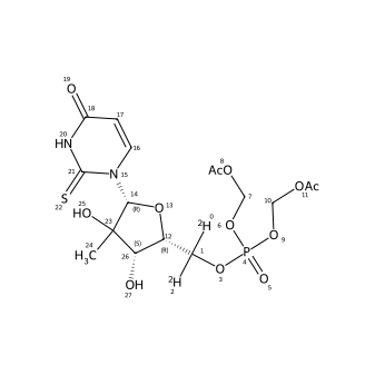 [2H]C([2H])(OP(=O)(OCOC(C)=O)OCOC(C)=O)[C@H]1O[C@@H](n2ccc(=O)[nH]c2=S)C(C)(O)[C@H]1O